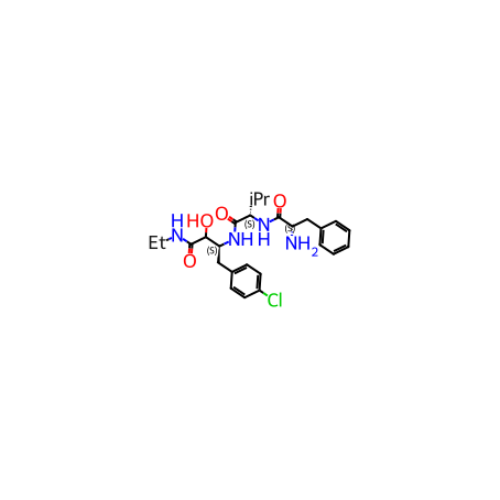 CCNC(=O)C(O)[C@H](Cc1ccc(Cl)cc1)NC(=O)[C@@H](NC(=O)[C@@H](N)Cc1ccccc1)C(C)C